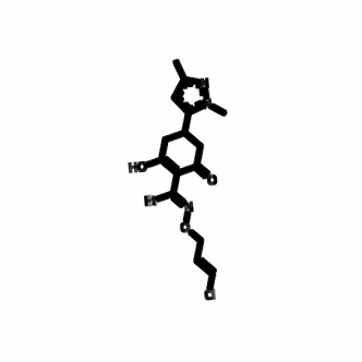 CCC(=NOCC=CCl)C1=C(O)CC(c2cc(C)nn2C)CC1=O